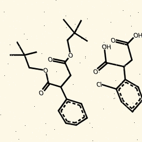 CC(C)(C)COC(=O)CC(C(=O)OCC(C)(C)C)c1ccccc1.O=C(O)CC(C(=O)O)c1ccccc1Cl